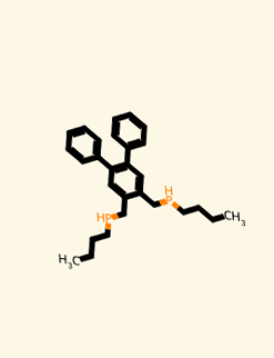 CCCCPCc1cc(-c2ccccc2)c(-c2ccccc2)cc1CPCCCC